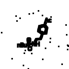 CCCCS(=O)(=O)NCCc1ccc(C(C)=O)cc1